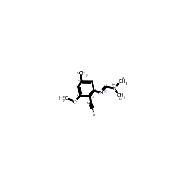 COc1cc(C)cc(/N=C/N(C)C)c1C#N